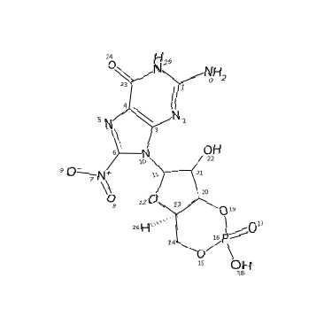 Nc1nc2c(nc([N+](=O)[O-])n2C2O[C@@H]3COP(=O)(O)OC3C2O)c(=O)[nH]1